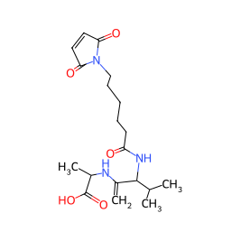 C=C(NC(C)C(=O)O)C(NC(=O)CCCCCN1C(=O)C=CC1=O)C(C)C